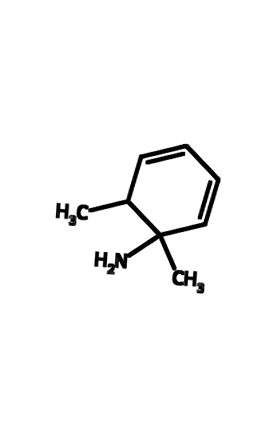 CC1C=CC=CC1(C)N